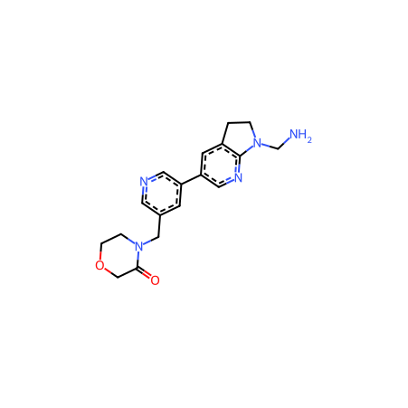 NCN1CCc2cc(-c3cncc(CN4CCOCC4=O)c3)cnc21